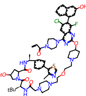 C=CC(=O)N1CCN(c2nc(OC3CCN(CCOCCN4CCN(CC(=O)N[C@H](C(=O)N5CC(O)CC5C(=O)N[C@@H](C)c5ccc(-c6scnc6C)cc5)C(C)(C)C)CC4)CC3)nc3c(F)c(-c4cc(O)cc5ccccc45)c(Cl)cc23)CC1